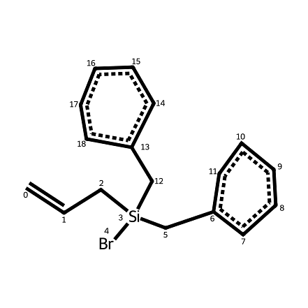 C=CC[Si](Br)(Cc1ccccc1)Cc1ccccc1